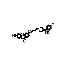 O=C1CC2(CCNCC2)Oc2cc(OCCCCN3CCC(c4noc5cc(F)ccc45)CC3)ccc21